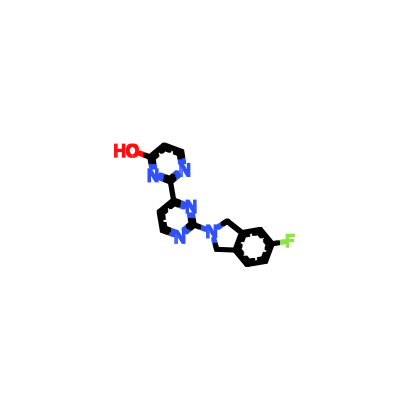 Oc1ccnc(-c2ccnc(N3Cc4ccc(F)cc4C3)n2)n1